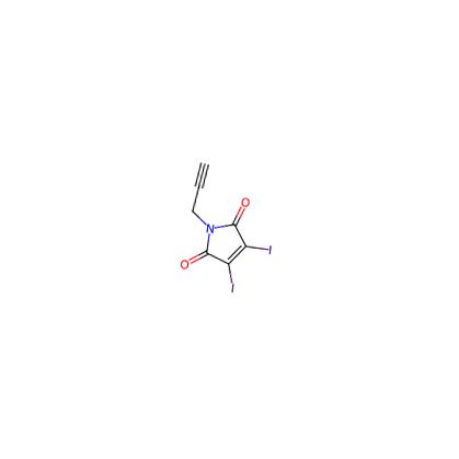 C#CCN1C(=O)C(I)=C(I)C1=O